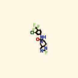 O=C(Nc1ccc(C(F)(F)F)c(Cl)c1)N1C2CCC1c1cnc(F)nc1C2